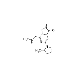 CNCc1nc(N2CCCC2C)cc2c1CNC2=O